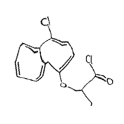 CC(Oc1ccc(Cl)c2ccccc12)C(=O)Cl